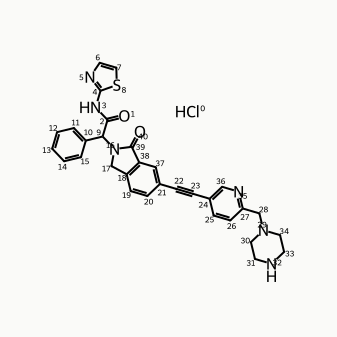 Cl.O=C(Nc1nccs1)C(c1ccccc1)N1Cc2ccc(C#Cc3ccc(CN4CCNCC4)nc3)cc2C1=O